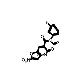 CNC(=O)/C(=C\c1ccc([N+](=O)[O-])o1)C(=O)N(C=S)c1cccc(F)c1